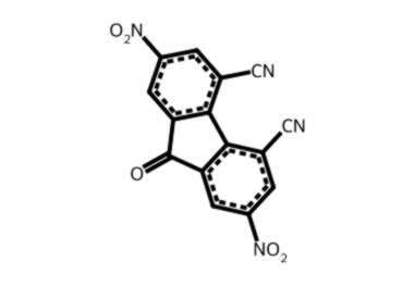 N#Cc1cc([N+](=O)[O-])cc2c1-c1c(C#N)cc([N+](=O)[O-])cc1C2=O